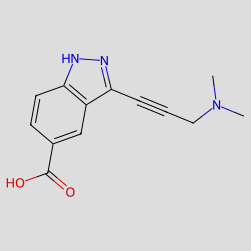 CN(C)CC#Cc1n[nH]c2ccc(C(=O)O)cc12